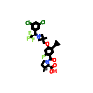 C[C@H]1CCN(C(=O)c2cc(C3CC3)c(OCC3(C)CN([C@@H](c4cc(Cl)cc(Cl)c4)C(F)(F)F)C3)cc2F)[C@@H]1C(=O)O